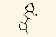 CC(Oc1cnccc1C#N)C1CN(C)CCO1